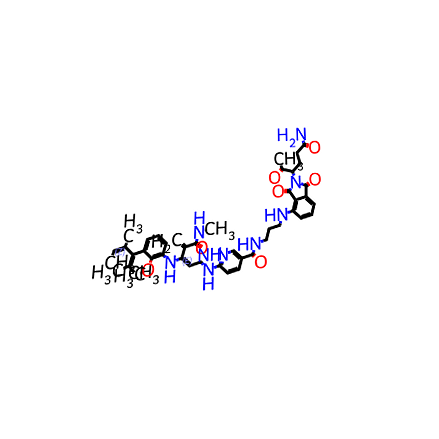 C=C(C(=O)NC)/C(=C\C(=N)Nc1ccc(C(=O)NCCCNc2cccc3c2C(=O)N(C(CCC(N)=O)C(C)=O)C3=O)cn1)Nc1cccc(C(=C(C)C)/C(C)=C\C)c1OC